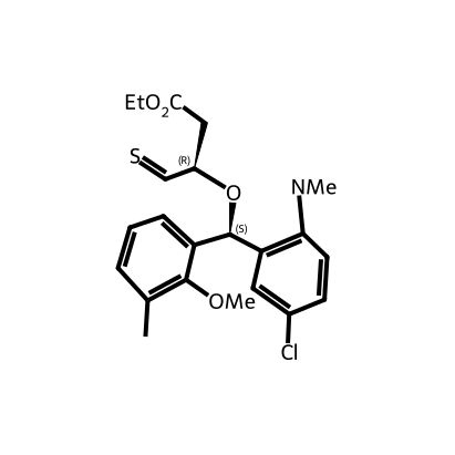 CCOC(=O)C[C@H](C=S)O[C@@H](c1cc(Cl)ccc1NC)c1cccc(C)c1OC